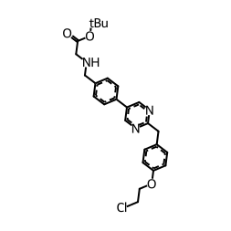 CC(C)(C)OC(=O)CNCc1ccc(-c2cnc(Cc3ccc(OCCCl)cc3)nc2)cc1